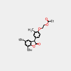 CCC(=O)OCCOc1ccc(C2C(=O)Oc3c2cc(C(C)(C)C)cc3C(C)(C)C)cc1C